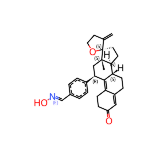 C=C1CCO[C@@]12CC[C@H]1[C@@H]3CCC4=CC(=O)CCC4=C3[C@@H](c3ccc(/C=N/O)cc3)C[C@@]12C